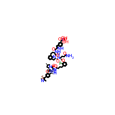 Cc1ncsc1-c1ccc([C@H](C)NC(=O)[C@@H]2C[C@@H](C)CN2C(=O)[C@@H](NC(=O)CCCc2cccc(OC[C@H](CCC(N)=O)NC(=O)[C@@H]3Cc4cccc5c4N3C(=O)[C@@H](NC(=O)c3cc4cc(C(=O)P(=O)(O)O)ccc4[nH]3)CC5)c2F)C(C)(C)C)cc1